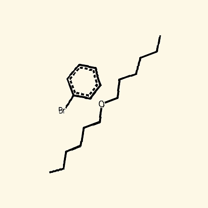 Brc1ccccc1.CCCCCCOCCCCCC